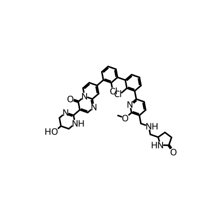 COc1nc(-c2cccc(-c3cccc(-c4ccn5c(=O)c(C6=NCC(O)CN6)cnc5c4)c3Cl)c2Cl)ccc1CNCC1CCC(=O)N1